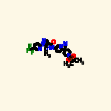 Cc1c(C(=O)Nc2ccc(C3(C#N)CCN(S(=O)(=O)C(C)C)CC3)nc2)cnn1-c1ccc(C(F)(F)F)cn1